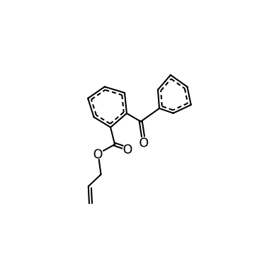 C=CCOC(=O)c1ccccc1C(=O)c1ccccc1